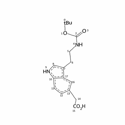 CC(C)(C)OC(=O)NCCc1c[nH]c2ccc(CC(=O)O)cc12